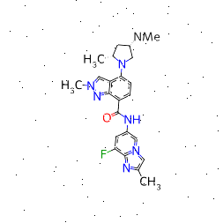 CN[C@H]1C[C@@H](C)N(c2ccc(C(=O)Nc3cc(F)c4nc(C)cn4c3)c3nn(C)cc23)C1